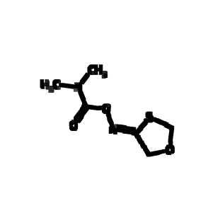 CN(C)C(=O)ON=C1COCS1